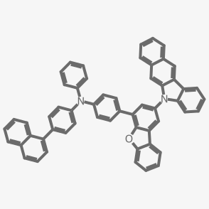 c1ccc(N(c2ccc(-c3cccc4ccccc34)cc2)c2ccc(-c3cc(-n4c5ccccc5c5cc6ccccc6cc54)cc4c3oc3ccccc34)cc2)cc1